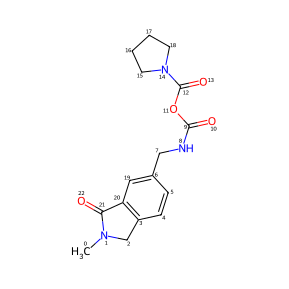 CN1Cc2ccc(CNC(=O)OC(=O)N3CCCC3)cc2C1=O